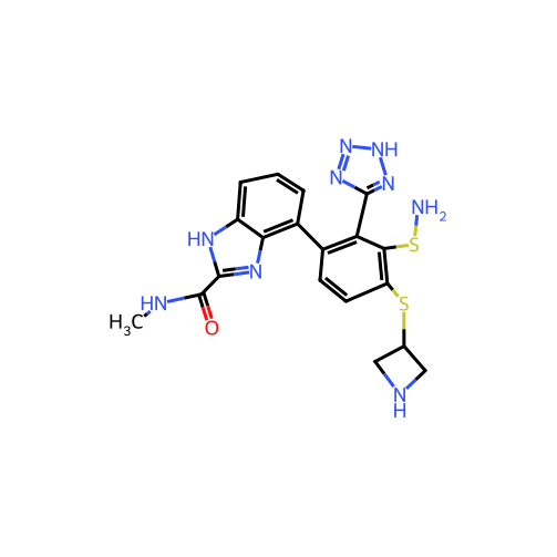 CNC(=O)c1nc2c(-c3ccc(SC4CNC4)c(SN)c3-c3nn[nH]n3)cccc2[nH]1